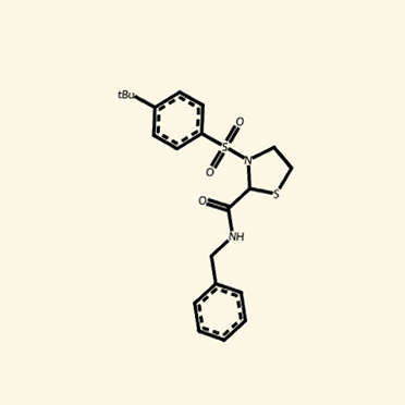 CC(C)(C)c1ccc(S(=O)(=O)N2CCSC2C(=O)NCc2ccccc2)cc1